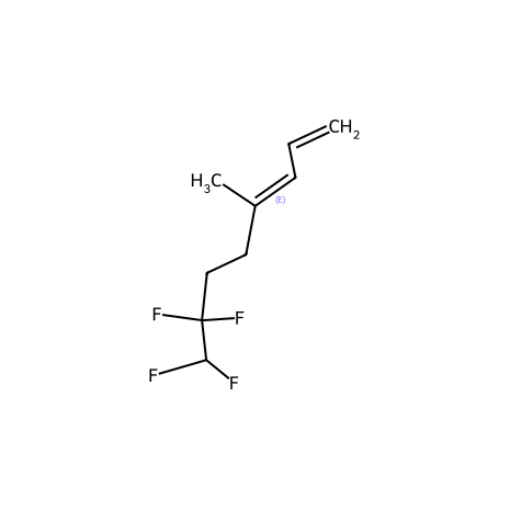 C=C/C=C(\C)CCC(F)(F)C(F)F